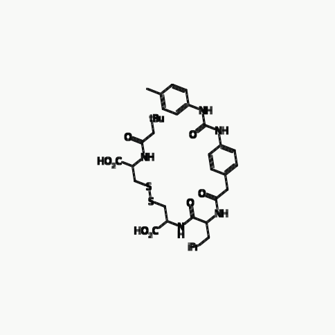 Cc1ccc(NC(=O)Nc2ccc(CC(=O)NC(CC(C)C)C(=O)NC(CSSCC(NC(=O)CC(C)(C)C)C(=O)O)C(=O)O)cc2)cc1